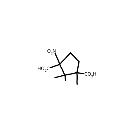 CC1(C(=O)O)CCC(C(=O)O)([N+](=O)[O-])C1(C)C